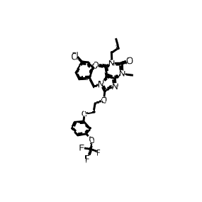 CCCn1c(=O)c2c(nc(OCCOc3cccc(OC(F)(F)F)c3)n2Cc2ccc(Cl)cc2)n(C)c1=O